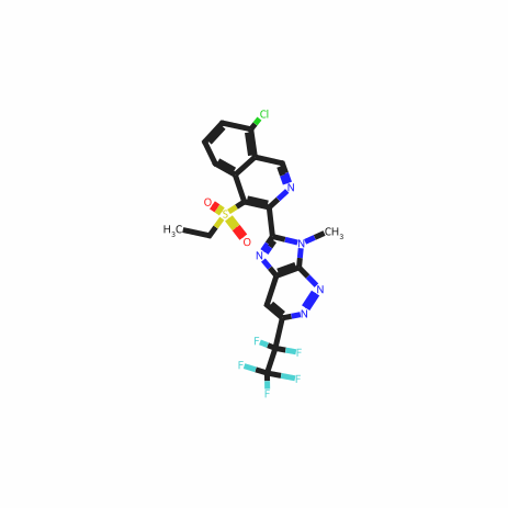 CCS(=O)(=O)c1c(-c2nc3cc(C(F)(F)C(F)(F)F)nnc3n2C)ncc2c(Cl)cccc12